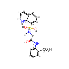 CN(CC(=O)Nc1ccccc1C(=O)O)S(=O)(=O)c1cccc2cccnc12